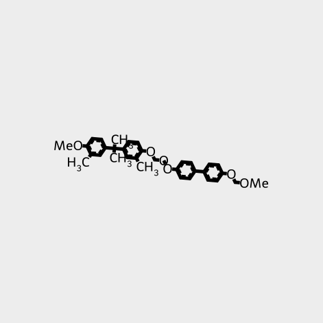 COCOc1ccc(-c2ccc(OOCOc3ccc(C(C)(C)c4ccc(OC)c(C)c4)cc3C)cc2)cc1